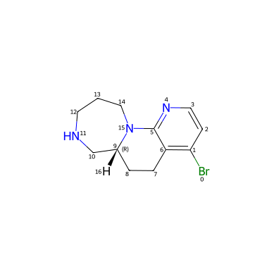 Brc1ccnc2c1CC[C@@H]1CNCCCN21